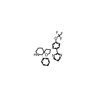 FC(F)(F)Oc1ccc(-c2ncccn2)c([C@@H]2COC3(CCCN[C@H]3c3ccccc3)C2)c1